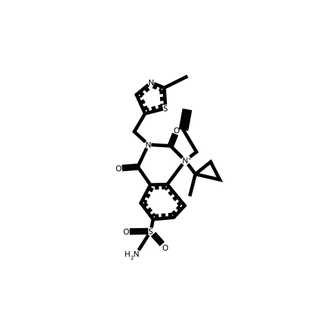 C#CC[N+]1(C2(C)CC2)C(=O)N(Cc2cnc(C)s2)C(=O)c2cc(S(N)(=O)=O)ccc21